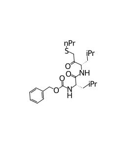 CCCSCC(=O)[C@H](CC(C)C)NC(=O)[C@H](CC(C)C)NC(=O)OCc1ccccc1